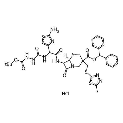 Cc1nnc(SCC2(C(=O)OC(c3ccccc3)c3ccccc3)CS[C@@H]3C(NC(=O)C(NC(=O)NNC(=O)OC(C)(C)C)c4csc(N)n4)C(=O)N3C2)s1.Cl